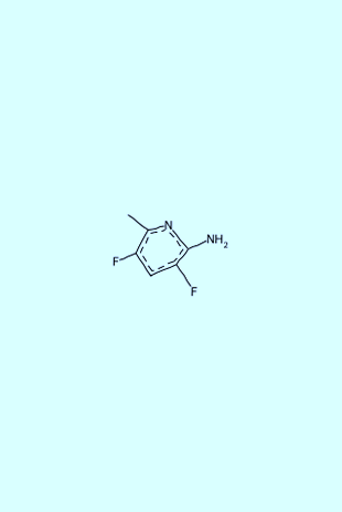 Cc1nc(N)c(F)cc1F